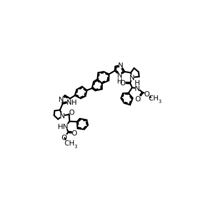 COC(=O)NC(C(=O)N1CCCC1c1ncc(-c2ccc(-c3ccc4cc(-c5cnc(C6CCCN6C(=O)C(NC(=O)OC)c6ccccc6)[nH]5)ccc4c3)cc2)[nH]1)c1ccccc1